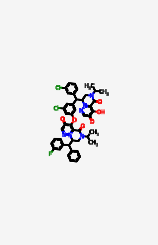 CC(C)N1CC(C(c2cccc(Cl)c2)c2cc(Cl)cc(Oc3c4n(ncc3=O)C(C(c3ccccc3)c3cccc(F)c3)CN(C(C)C)C4=O)c2)n2ncc(=O)c(O)c2C1=O